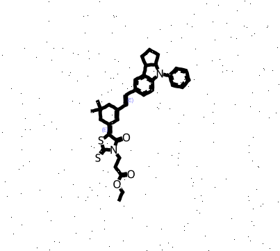 CCOC(=O)CCN1C(=O)/C(=C2C=C(/C=C/c3ccc4c(c3)C3CCCC3N4c3ccccc3)CC(C)(C)C\2)SC1=S